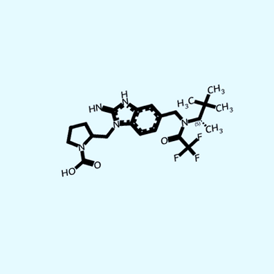 C[C@H](N(Cc1ccc2c(c1)[nH]c(=N)n2CC1CCCN1C(=O)O)C(=O)C(F)(F)F)C(C)(C)C